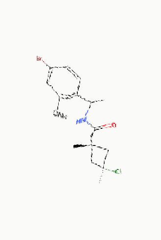 COc1cc(Br)ccc1C(C)NC(=O)[C@]1(C)C[C@@](C)(Cl)C1